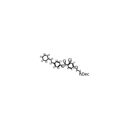 CCCCCCCCCCCCOc1ccc(C(=O)Oc2ccc(CCC3CC[CH]CC3)cc2)c(Cl)c1